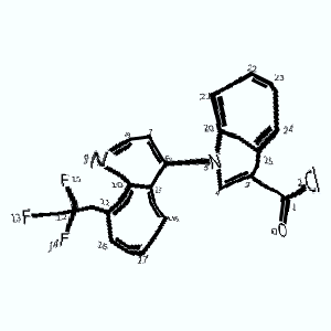 O=C(Cl)c1cn(-c2ccnc3c(C(F)(F)F)cccc23)c2ccccc12